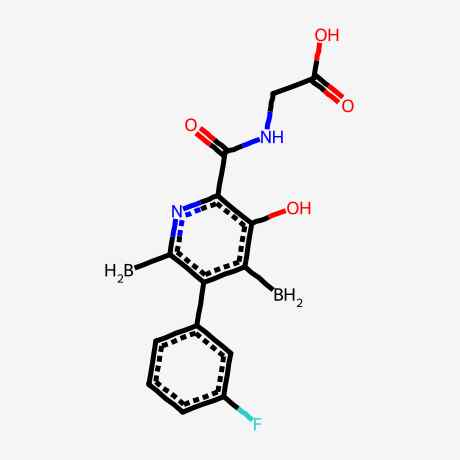 Bc1nc(C(=O)NCC(=O)O)c(O)c(B)c1-c1cccc(F)c1